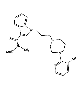 CON(C)C(=O)c1cn(CCCN2CCCN(c3ncccc3C#N)CC2)c2ccccc12